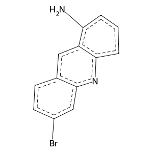 Nc1cccc2nc3cc(Br)ccc3cc12